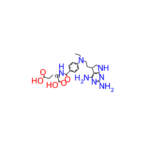 CCN(CCC1CNc2nc(N)nc(N)c21)c1ccc(C(=O)N[C@@H](CCC(=O)O)C(=O)O)cc1